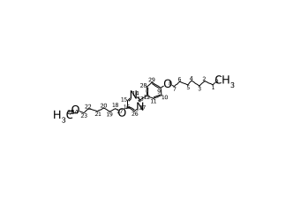 CCCCCCCCOc1ccc(-c2ncc(OCCCCCCOC)cn2)cc1